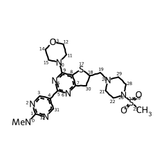 CNc1ncc(-c2nc3c(c(N4CCOCC4)n2)SC(CN2CCN(S(C)(=O)=O)CC2)C3)cn1